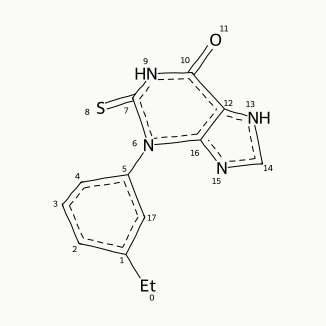 CCc1cccc(-n2c(=S)[nH]c(=O)c3[nH]cnc32)c1